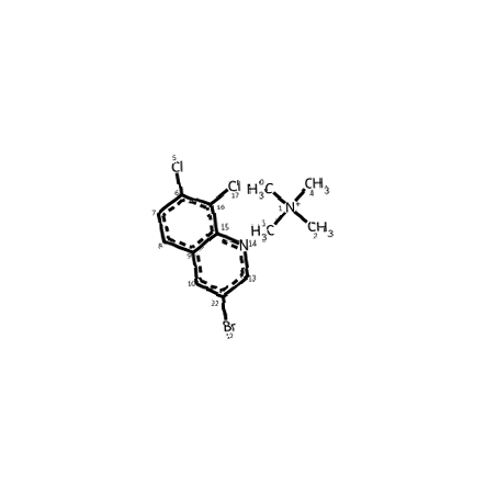 C[N+](C)(C)C.Clc1ccc2cc(Br)cnc2c1Cl